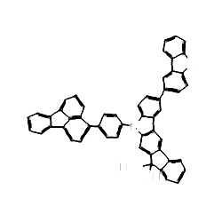 CC1(C)c2ccccc2-c2cc3c4cc(-c5ccc6sc7ccccc7c6c5)ccc4n(-c4ccc(-c5ccc6c7c(cccc57)-c5ccccc5-6)cc4)c3cc21